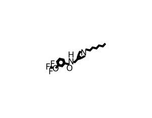 CCCCCCCN1CC2C(CNC(=O)c3cccc(OC(F)(F)F)c3)C2C1